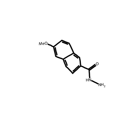 COc1ccc2cc(C(=O)NN)ccc2c1